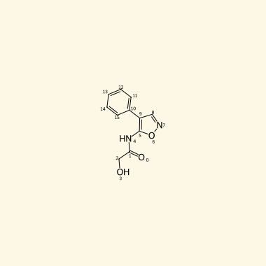 O=C(CO)Nc1oncc1-c1ccccc1